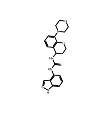 O=C(Nc1cccc2[nH]ncc12)NC1CCOc2c1cccc2N1CCOCC1